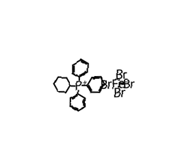 [Br][Fe-]([Br])([Br])[Br].c1ccc([P+](c2ccccc2)(c2ccccc2)C2CCCCC2)cc1